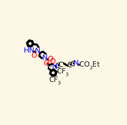 CCOC(=O)CN=C=C=CC=C=C=NC(=O)[C@@H](Cc1cc(C(F)(F)F)cc(C(F)(F)F)c1)OC(=O)N1CCC(N2CCc3ccccc3NC2=O)CC1